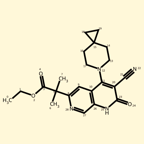 CCOC(=O)C(C)(C)c1cc2c(N3CCC4(CC3)CC4)c(C#N)c(=O)[nH]c2cn1